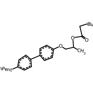 CCCCCc1ccc(-c2ccc(OCC(C)OC(=O)CC(C)CC)cc2)cc1